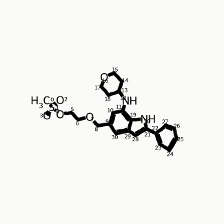 CS(=O)(=O)OCCOCc1cc(NC2CCOCC2)c2[nH]c(-c3ccccc3)cc2c1